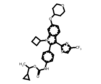 CC(OC(=O)Nc1ccc(-c2c(-c3nc(C(F)(F)F)cs3)c3ccc(OC4CCOCC4)cc3n2C2CCC2)cc1)C1CC1